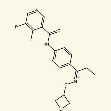 CC/C(=N/OC1COC1)c1ccc(NC(=O)c2cncc(F)c2C)nc1